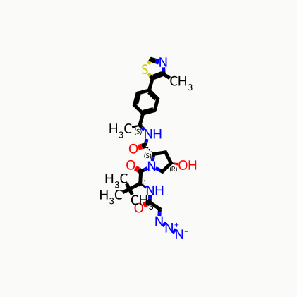 Cc1ncsc1-c1ccc([C@H](C)NC(=O)[C@@H]2C[C@@H](O)CN2C(=O)[C@@H](NC(=O)CN=[N+]=[N-])C(C)(C)C)cc1